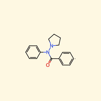 O=C(c1cc[c]cc1)N(c1ccccc1)N1CCCC1